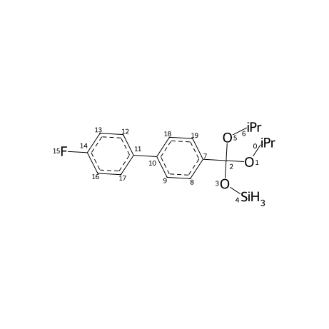 CC(C)OC(O[SiH3])(OC(C)C)c1ccc(-c2ccc(F)cc2)cc1